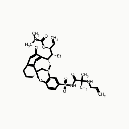 C=CCNC(C)(C)C(=O)NS(=O)(=O)c1ccc2c(c1)N1C[C@@H]([C@@H](CC)[C@H](C=C)OC(=O)N(C)C)c3cc4c(cc3Cl)CCC[C@@]4(CO2)C1